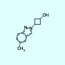 Cc1ccc2nn(C3CC(O)C3)cc2c1